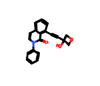 O=c1c2c(C#CC3(O)COC3)cccc2ccn1-c1ccccc1